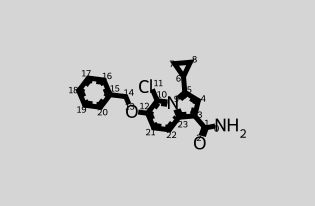 NC(=O)c1cc(C2CC2)n2c(Cl)c(OCc3ccccc3)ccc12